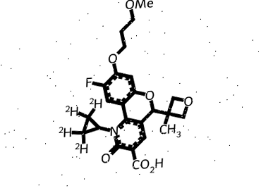 [2H]C1([2H])C(n2c3c(cc(C(=O)O)c2=O)C(C2(C)COC2)Oc2cc(OCCCOC)c(F)cc2-3)C1([2H])[2H]